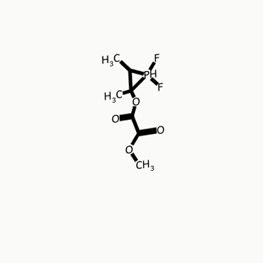 COC(=O)C(=O)OC1(C)C(C)[PH]1(F)F